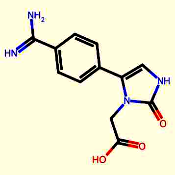 N=C(N)c1ccc(-c2c[nH]c(=O)n2CC(=O)O)cc1